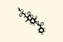 CCOC(=O)CCc1c(C)c2ccc(OCC(=O)c3ccccc3)c(C)c2oc1=O